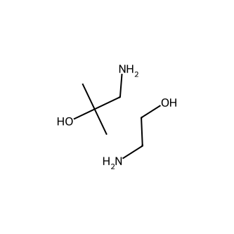 CC(C)(O)CN.NCCO